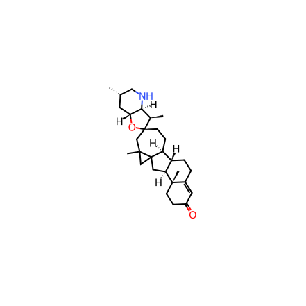 C[C@@H]1CN[C@H]2[C@@H](C)[C@@]3(CC[C@H]4[C@@H]5CCC6=CC(=O)CC[C@]6(C)[C@H]5CC45CC5(C)C3)O[C@@H]2C1